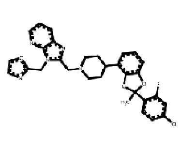 CC1(c2ccc(Cl)cc2F)Oc2cccc(C3CCN(Cc4nc5cccnc5n4Cc4ncco4)CC3)c2O1